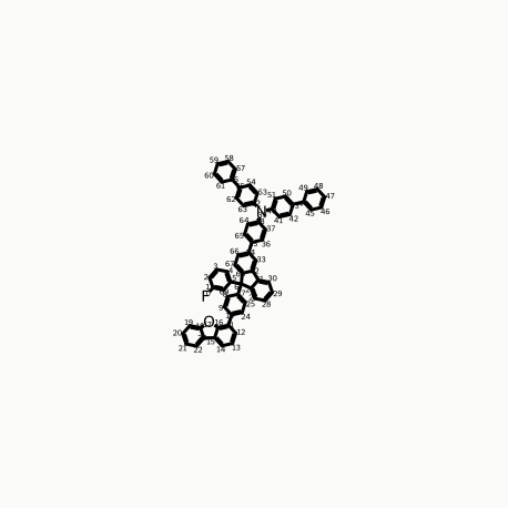 Fc1cccc(C2(c3ccc(-c4cccc5c4oc4ccccc45)cc3)c3ccccc3-c3cc(-c4ccc(N(c5ccc(-c6ccccc6)cc5)c5ccc(-c6ccccc6)cc5)cc4)ccc32)c1